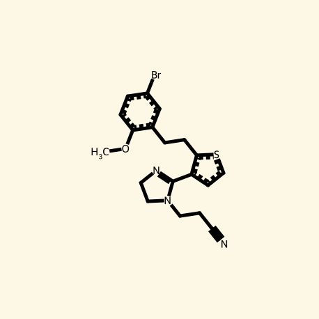 COc1ccc(Br)cc1CCc1sccc1C1=NCCN1CCC#N